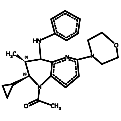 CC(=O)N1c2ccc(N3CCOCC3)nc2C(Nc2ccccc2)[C@@H](C)[C@@H]1C1CC1